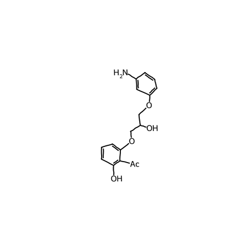 CC(=O)c1c(O)cccc1OCC(O)COc1cccc(N)c1